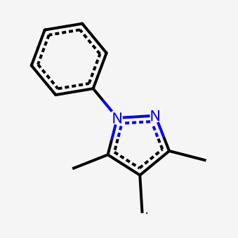 [CH2]c1c(C)nn(-c2ccccc2)c1C